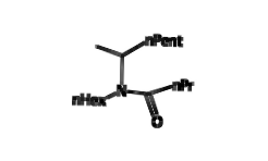 CCCCCCN(C(=O)CCC)C(C)CCCCC